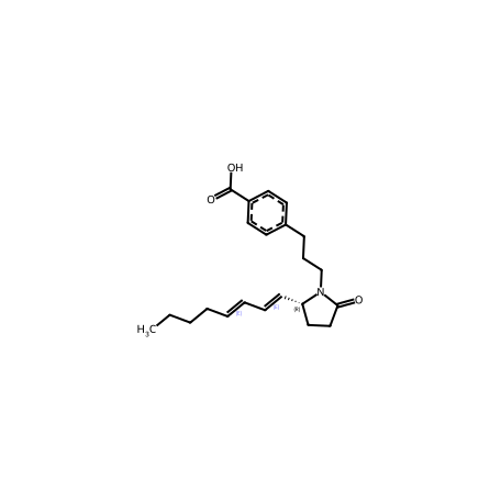 CCCC/C=C/C=C/[C@H]1CCC(=O)N1CCCc1ccc(C(=O)O)cc1